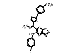 NN=C(c1ccc(-c2ccc(C(=O)O)cc2)o1)c1nc2nonc2nc1Nc1ccc(F)cc1